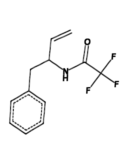 C=CC(Cc1ccccc1)NC(=O)C(F)(F)F